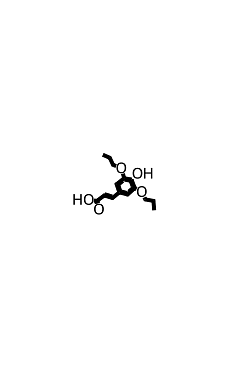 CCCOc1cc(C=CC(=O)O)cc(OCCC)c1O